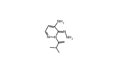 C=C(C(C)C)n1nccc(N)/c1=N/N